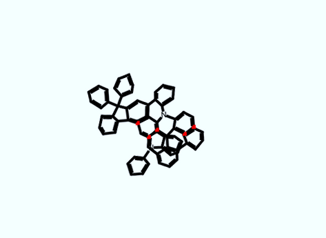 c1ccc(-c2cccc3cccc(-c4ccccc4N(c4ccccc4-c4ccc5c(c4)C(c4ccccc4)(c4ccccc4)c4ccccc4-5)c4cccc5c4c4ccccc4n5-c4ccccc4)c23)cc1